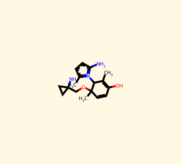 CC1=C(O)C=CC(C)(OCC2(N)CC2)C1n1c(C)ccc1N